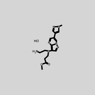 COC(=O)CCN(CCN)c1cnn2cc(-c3cnn(C)c3)cnc12.Cl